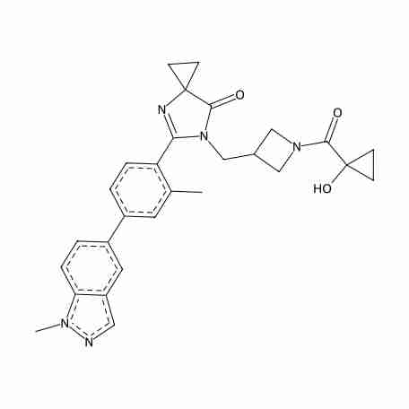 Cc1cc(-c2ccc3c(cnn3C)c2)ccc1C1=NC2(CC2)C(=O)N1CC1CN(C(=O)C2(O)CC2)C1